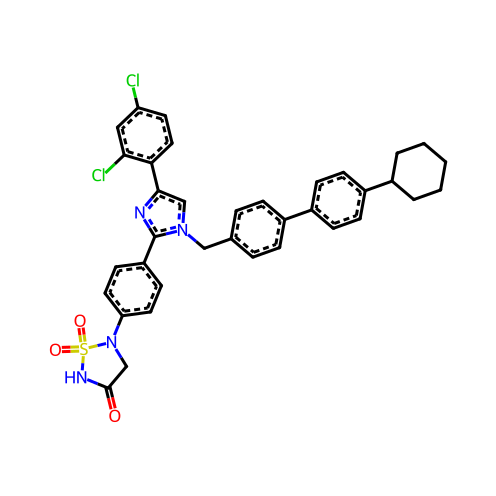 O=C1CN(c2ccc(-c3nc(-c4ccc(Cl)cc4Cl)cn3Cc3ccc(-c4ccc(C5CCCCC5)cc4)cc3)cc2)S(=O)(=O)N1